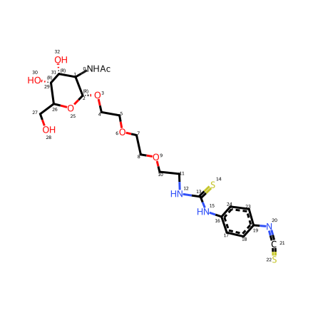 CC(=O)NC1[C@H](OCCOCCOCCNC(=S)Nc2ccc(N=C=S)cc2)OC(CO)[C@H](O)[C@@H]1O